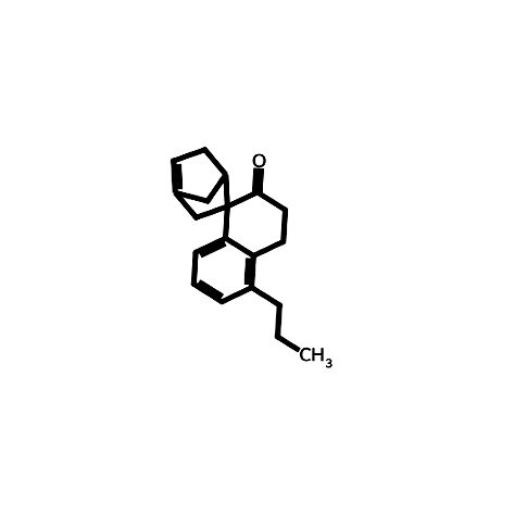 CCCc1cccc2c1CCC(=O)C21CC2=CCC1C2